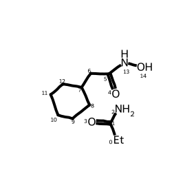 CCC(N)=O.O=C(CC1CCCCC1)NO